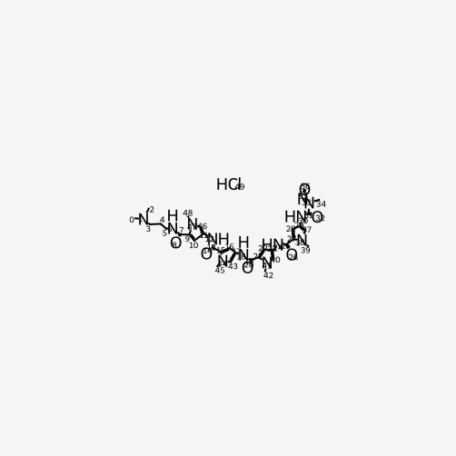 CN(C)CCCNC(=O)c1cc(NC(=O)c2cc(NC(=O)c3cc(NC(=O)c4cc(NC(=O)N(C)N=O)cn4C)cn3C)cn2C)cn1C.Cl